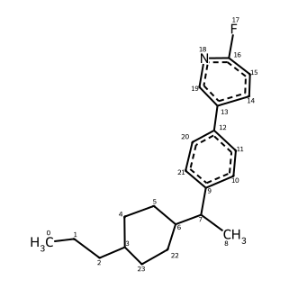 CCCC1CCC(C(C)c2ccc(-c3ccc(F)nc3)cc2)CC1